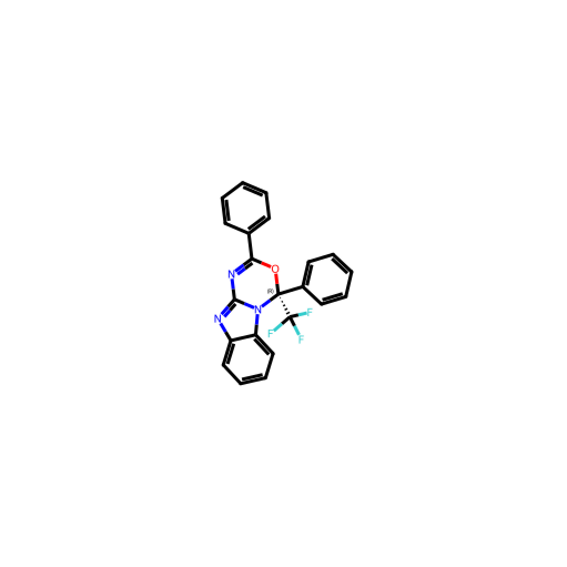 FC(F)(F)[C@@]1(c2ccccc2)OC(c2ccccc2)=Nc2nc3ccccc3n21